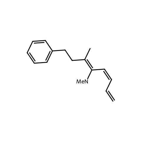 C=C/C=C\C(NC)=C(/C)CCc1ccccc1